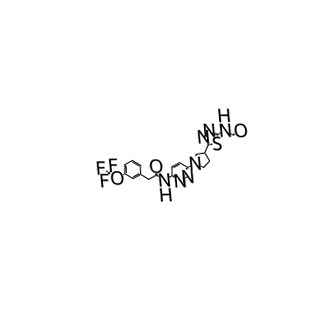 O=CNc1nnc(C2CCN(c3ccc(NC(=O)Cc4cccc(OC(F)(F)F)c4)nn3)C2)s1